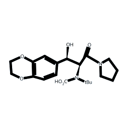 CC(C)(C)N(C(=O)O)[C@H](C(=O)N1CCCC1)[C@H](O)c1ccc2c(c1)OCCO2